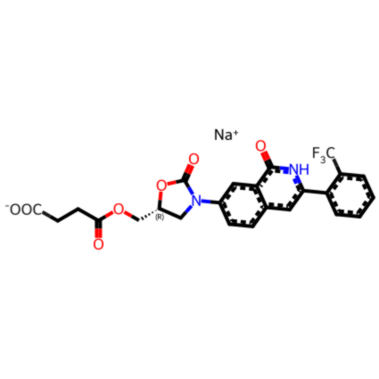 O=C([O-])CCC(=O)OC[C@H]1CN(c2ccc3cc(-c4ccccc4C(F)(F)F)[nH]c(=O)c3c2)C(=O)O1.[Na+]